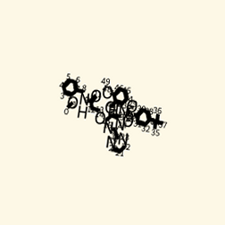 COc1ccccc1CNC(=O)CCOc1nc(-c2ncccn2)nc(NS(=O)(=O)c2ccc(C(C)(C)C)cc2)c1Oc1ccccc1OC